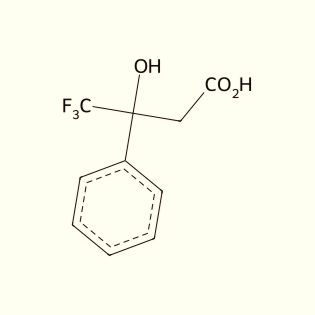 O=C(O)CC(O)(c1ccccc1)C(F)(F)F